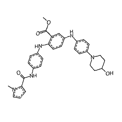 COC(=O)c1cc(Nc2ccc(N3CCC(O)CC3)cc2)ccc1Nc1ccc(NC(=O)c2cccn2C)cc1